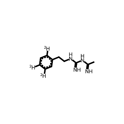 [2H]c1cc([2H])c(CCNC(=N)NC(C)=N)cc1[2H]